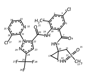 Cc1cc(Cl)cc(C(=O)NC2(CS(C)(=N)=O)CC2)c1NC(=O)c1cc(C(F)(F)F)nn1-c1ncccc1Cl